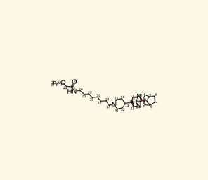 CCN1CC2CCC(C1)N2c1ncc(C2CCN(CCCCCCCCNC(=O)COC(C)C)CC2)cn1